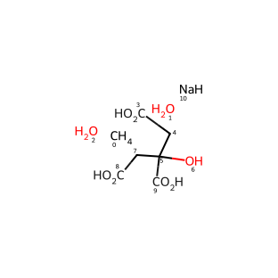 C.O.O.O=C(O)CC(O)(CC(=O)O)C(=O)O.[NaH]